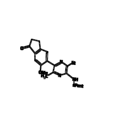 CCCCCNc1nc(C)c(-c2cc3c(cc2OC)C(=O)CC3)nc1CC